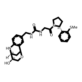 CSc1ccccc1[C@H]1CCCN1C(=O)CNC(=O)NCc1ccc2c(c1)C1C[C@H](N2)[C@H](O)CO1